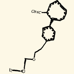 CCOCOCCc1ccc(-c2ccccc2C=O)cc1